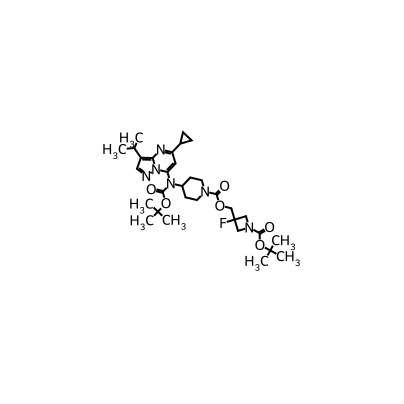 CC(C)c1cnn2c(N(C(=O)OC(C)(C)C)C3CCN(C(=O)OCC4(F)CN(C(=O)OC(C)(C)C)C4)CC3)cc(C3CC3)nc12